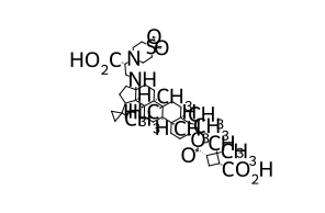 CC1(C2CC[C@]3(NC[C@H](C(=O)O)N4CCS(=O)(=O)CC4)CC[C@]4(C)[C@H](CC[C@@H]5[C@@]6(C)CC[C@H](OC(=O)[C@H]7C[C@@H](C(=O)O)C7(C)C)C(C)(C)[C@@H]6CC[C@]54C)[C@@H]23)CC1